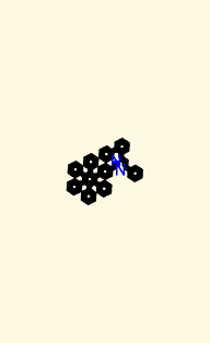 c1ccc(-c2cc(-c3ccccc3-c3ccccc3)nc(-c3ccc(-c4c(-c5ccccc5)c(-c5ccccc5)c(-c5ccccc5)c(-c5ccccc5)c4-c4ccccc4)cc3)n2)cc1